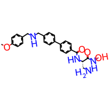 COc1ccc(CNCc2ccc(-c3ccc(C(=O)N[C@@H](CN)C(=O)NO)cc3)cc2)cc1